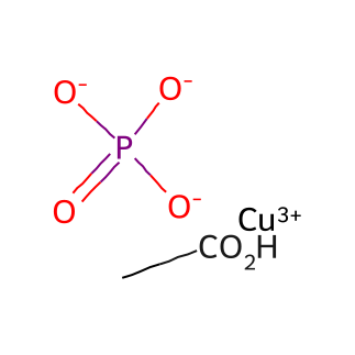 CC(=O)O.O=P([O-])([O-])[O-].[Cu+3]